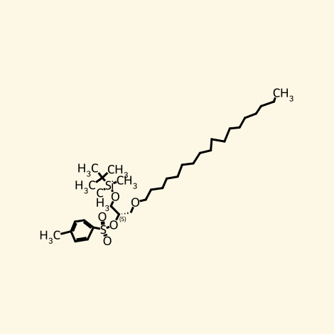 CCCCCCCCCCCCCCCCCCOC[C@@H](CO[Si](C)(C)C(C)(C)C)OS(=O)(=O)c1ccc(C)cc1